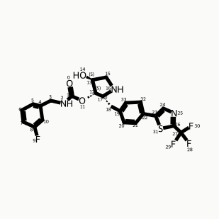 O=C(NCc1cccc(F)c1)O[C@@H]1[C@@H](O)CN[C@@H]1Cc1ccc(-c2cnc(C(F)(F)F)s2)cc1